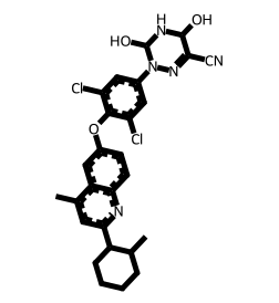 Cc1cc(C2CCCCC2C)nc2ccc(Oc3c(Cl)cc(N4N=C(C#N)C(O)NC4O)cc3Cl)cc12